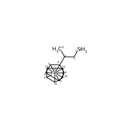 CC(C[SiH3])[C]12[CH]3[CH]4[CH]5[CH]1[Fe]45321678[CH]2[CH]1[CH]6[CH]7[CH]28